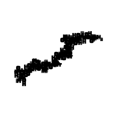 CC(C)CC(CO)NC(=O)C(CCC(N)=O)NC(=O)C(C)(C)NC(=O)C(C)(C)NC(=O)C(CC(C)C)NC(=O)C1CCCN1C(=O)C(C)(C)NC(=O)C(CC(C)C)NC(=O)CNC(=O)C(C)(C)NC(=O)C(NC(=O)C(C)(C)NC(=O)C(CCC(N)=O)NC(=O)C(C)(C)NC(=O)C(C)(C)NC(=O)C(C)NC(=O)CNC(=O)C(C)(C)N)C(C)C